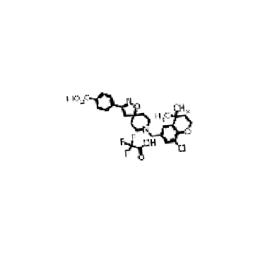 CC1(C)CCOc2c(Cl)cc(CN3CCC4(CC3)CC(c3ccc(C(=O)O)cc3)=NO4)cc21.O=C(O)C(F)(F)F